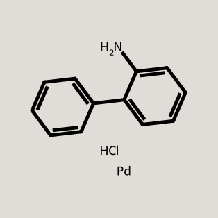 Cl.Nc1ccccc1-c1ccccc1.[Pd]